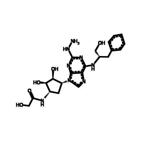 NNc1nc(N[C@H](CO)Cc2ccccc2)c2ncn([C@@H]3C[C@H](NC(=O)CO)[C@@H](O)[C@H]3O)c2n1